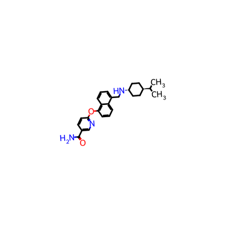 CC(C)[C@H]1CC[C@H](NCc2cccc3c(Oc4ccc(C(N)=O)cn4)cccc23)CC1